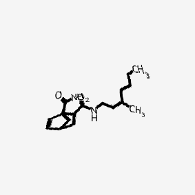 CCCCC(C)CCNC(=O)C1CC2C=CC1(C(N)=O)C2